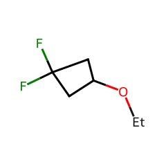 CCOC1CC(F)(F)C1